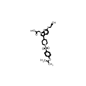 C#CCSc1ccc2c(C3CCN(S(=O)(=O)c4ccc(OC(C)C)cc4)CC3)cn(CC(=O)O)c2n1